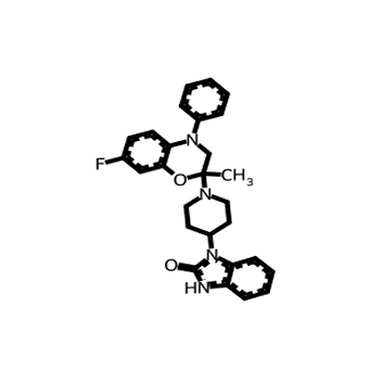 CC1(N2CCC(n3c(=O)[nH]c4ccccc43)CC2)CN(c2ccccc2)c2ccc(F)cc2O1